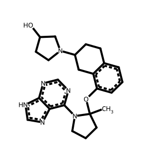 CC1(Oc2cccc3c2CC(N2CCC(O)C2)CC3)CCCN1c1ncnc2[nH]cnc12